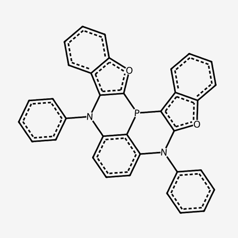 c1ccc(N2c3cccc4c3P(c3oc5ccccc5c3N4c3ccccc3)c3c2oc2ccccc32)cc1